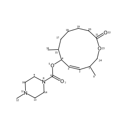 CC1/C=C\C(OC(=O)N2CCN(C)CC2)C(C)CCCCC(=O)OC1